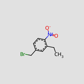 CCc1cc(CBr)ccc1[N+](=O)[O-]